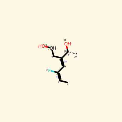 C/C=C(F)\C=C(/CBO)[C@@H](C)O